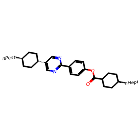 CCCCCCCC1CCC(C(=O)Oc2ccc(-c3ncc([C@H]4CC[C@H](CCCCC)CC4)cn3)cc2)CC1